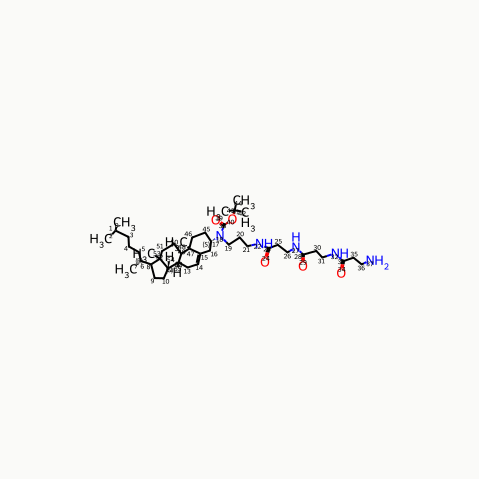 CC(C)CCC[C@@H](C)C1CC[C@H]2[C@H]3CC=C4C[C@@H](N(CCCNC(=O)CCNC(=O)CCNC(=O)CCN)C(=O)OC(C)(C)C)CCC4(C)C3CCC12C